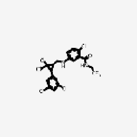 O=C(NCC(F)(F)F)c1cc(NCC2C(c3cc(Cl)cc(Cl)c3)C2(Cl)Cl)ccc1Cl